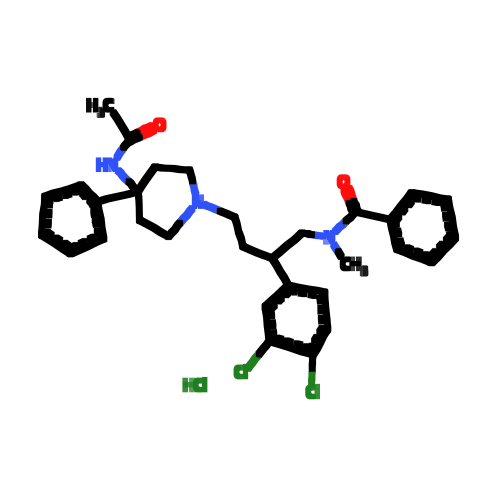 CC(=O)NC1(c2ccccc2)CCN(CCC(CN(C)C(=O)c2ccccc2)c2ccc(Cl)c(Cl)c2)CC1.Cl